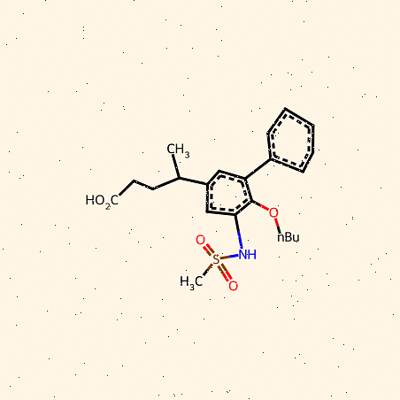 CCCCOc1c(NS(C)(=O)=O)cc(C(C)CCC(=O)O)cc1-c1ccccc1